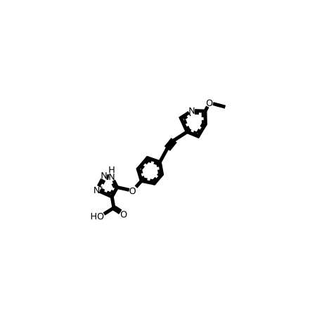 COc1ccc(C#Cc2ccc(Oc3[nH]nnc3C(=O)O)cc2)cn1